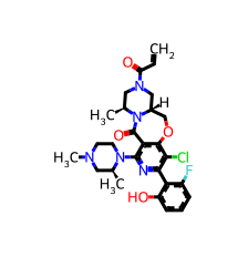 C=CC(=O)N1C[C@@H]2COc3c(Cl)c(-c4c(O)cccc4F)nc(N4CCN(C)C[C@@H]4C)c3C(=O)N2[C@@H](C)C1